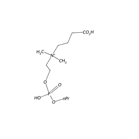 CCCOP(=O)(O)OCC[N+](C)(C)CCCC(=O)O